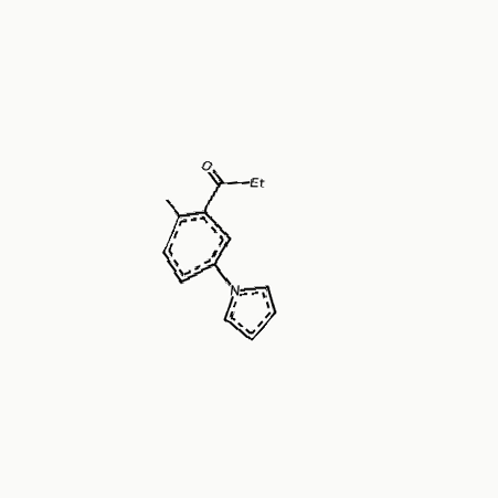 CCC(=O)c1cc(-n2cccc2)ccc1C